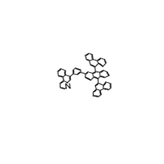 c1cc(-c2ccc3c(-c4cc5ccccc5c5ccccc45)c4ccccc4c(-c4cc5ccccc5c5ccccc45)c3c2)cc(-c2cc3ncccc3c3ccccc23)c1